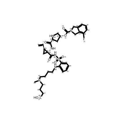 C=C[C@@H]1C[C@]1(NC(=O)[C@@H]1C[C@@H](OC(=O)N2Cc3cccc(F)c3C2)CN1)C(=O)NS(=O)(=O)c1ccccc1NCCCCN(C)CCCC(=O)O